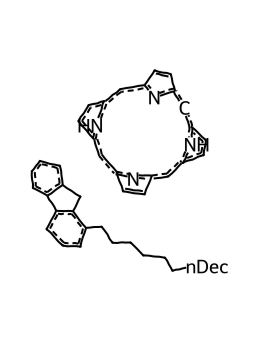 C1=Cc2cc3ccc(cc4nc(cc5ccc(cc1n2)[nH]5)C=C4)[nH]3.CCCCCCCCCCCCCCCCc1cccc2c1Cc1ccccc1-2